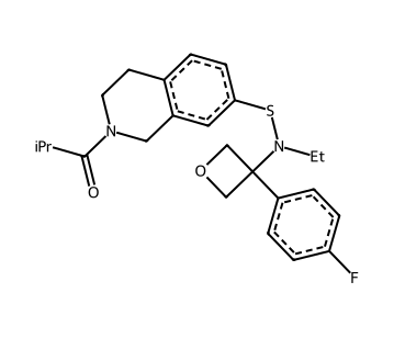 CCN(Sc1ccc2c(c1)CN(C(=O)C(C)C)CC2)C1(c2ccc(F)cc2)COC1